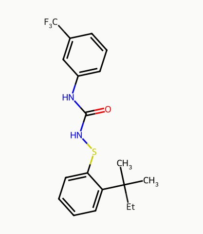 CCC(C)(C)c1ccccc1SNC(=O)Nc1cccc(C(F)(F)F)c1